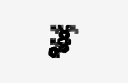 Cc1cc(Oc2ccn(-c3ccccn3)n2)c(C)cc1N